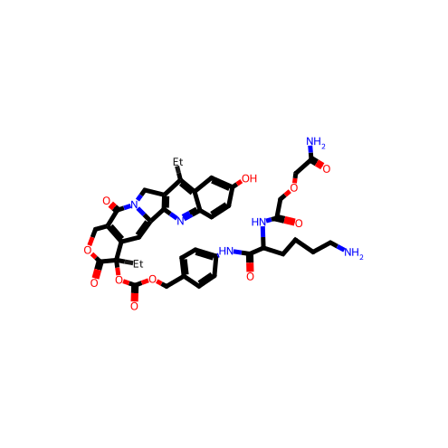 CCc1c2c(nc3ccc(O)cc13)-c1cc3c(c(=O)n1C2)COC(=O)C3(CC)OC(=O)OCc1ccc(NC(=O)C(CCCCN)NC(=O)COCC(N)=O)cc1